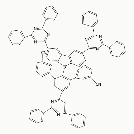 N#Cc1cccc(-c2cc(-c3cc(-c4ccccc4)nc(-c4ccccc4)n3)cc(-c3cccc(C#N)c3)c2-n2c3ccc(-c4nc(-c5ccccc5)nc(-c5ccccc5)n4)cc3c3cc(-c4nc(-c5ccccc5)nc(-c5ccccc5)n4)ccc32)c1